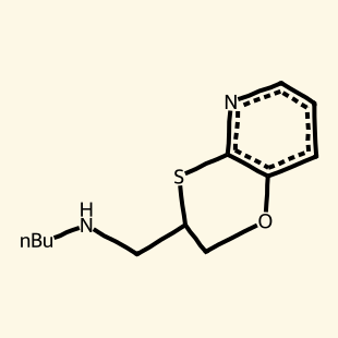 CCCCNCC1COc2cccnc2S1